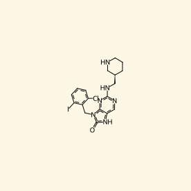 O=c1[nH]c2cnc(NC[C@@H]3CCCNC3)nc2n1Cc1c(Cl)cccc1I